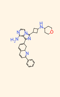 Nc1nccn2c(C3CC(NC4CCOCC4)C3)nc(C3=CC=C4C=CC(c5ccccc5)=NC4C3)c12